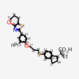 CCCc1cc(-c2nc3c(s2)CCCO3)ccc1OCCCSc1ccc2c(c1)CC[C@H]2C(CC)C(=O)O